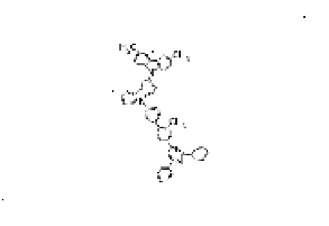 Cc1ccc2c(c1)c1cc(C)ccc1n2-c1ccc2c(c1)c1ccccc1n2-c1ccc(-c2ccc(-c3cc(-c4ccccc4)nc(-c4ccccc4)n3)cc2C)cc1